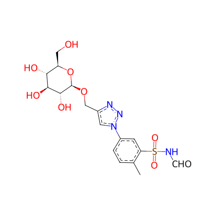 Cc1ccc(-n2cc(CO[C@@H]3O[C@H](CO)[C@@H](O)[C@H](O)[C@H]3O)nn2)cc1S(=O)(=O)NC=O